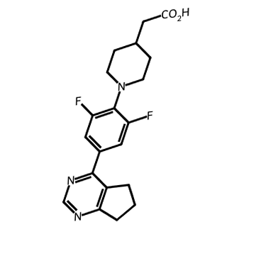 O=C(O)CC1CCN(c2c(F)cc(-c3ncnc4c3CCC4)cc2F)CC1